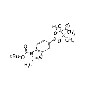 Cc1nc2cc(B3OC(C)(C)C(C)(C)O3)ccc2n1C(=O)OC(C)(C)C